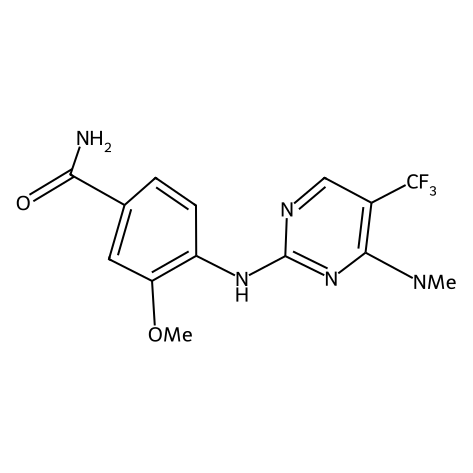 CNc1nc(Nc2ccc(C(N)=O)cc2OC)ncc1C(F)(F)F